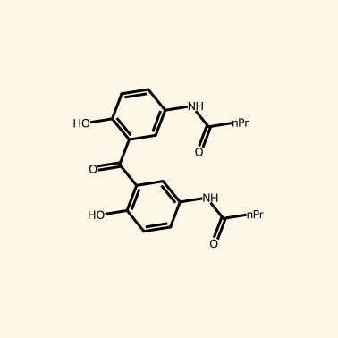 CCCC(=O)Nc1ccc(O)c(C(=O)c2cc(NC(=O)CCC)ccc2O)c1